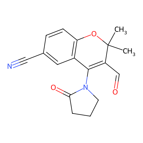 CC1(C)Oc2ccc(C#N)cc2C(N2CCCC2=O)=C1C=O